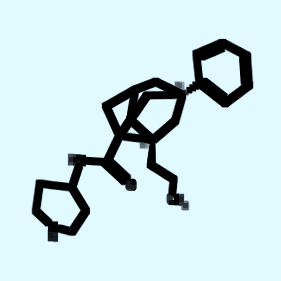 CCC[C@]12CC3CC1(C(=O)NC1CCNCC1)C[C@@](c1ccccc1)(C3)C2